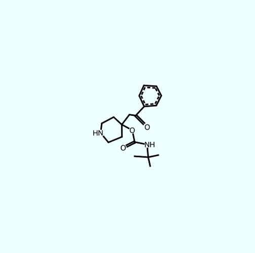 CC(C)(C)NC(=O)OC1(CC(=O)c2ccccc2)CCNCC1